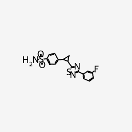 NS(=O)(=O)c1ccc(C2CC2c2nc(-c3cccc(F)c3)ns2)cc1